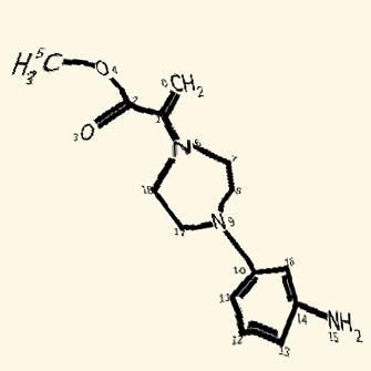 C=C(C(=O)OC)N1CCN(c2cccc(N)c2)CC1